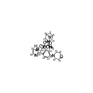 CC(C)(C)OC(=O)N1C2CC1CN(c1nc3c(N4CCOCC4)ccc(-c4nccs4)c3o1)C2